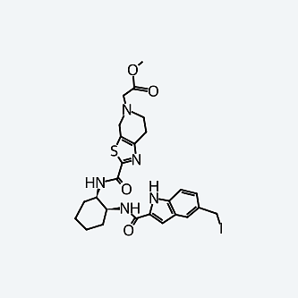 COC(=O)CN1CCc2nc(C(=O)N[C@@H]3CCCC[C@@H]3NC(=O)c3cc4cc(CI)ccc4[nH]3)sc2C1